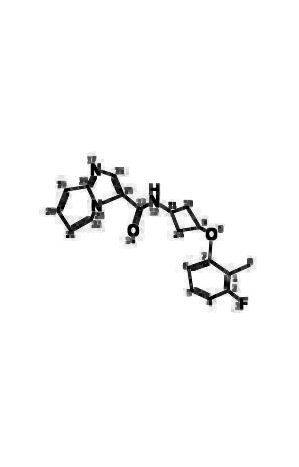 Cc1c(F)cccc1OC1CC(NC(=O)c2cnc3ccccn23)C1